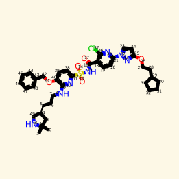 CC1(C)C[C@H](CCCNc2nc(S(=O)(=O)NC(=O)c3ccc(-n4ccc(OCCC5CCCC5)n4)nc3Cl)ccc2OCc2ccccc2)CN1